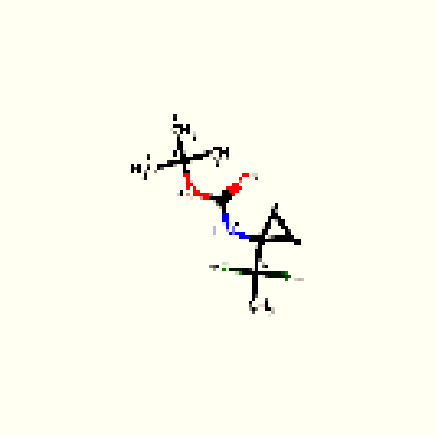 CC(C)(C)OC(=O)NC1(C(C)(F)F)CC1